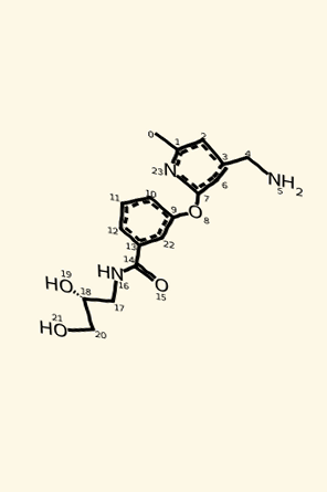 Cc1cc(CN)cc(Oc2cccc(C(=O)NC[C@@H](O)CO)c2)n1